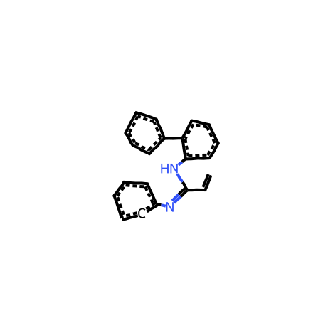 C=CC(=Nc1ccccc1)Nc1ccccc1-c1ccccc1